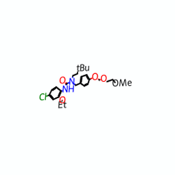 CCOc1cc(Cl)ccc1NC(=O)N(CCC(C)(C)C)Cc1ccc(OCOCCOC)cc1